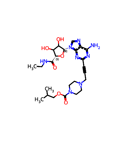 CCNC(=O)[C@H]1O[C@@H](n2cnc3c(N)nc(C#CCN4CCN(C(=O)OCC(C)C)CC4)nc32)C(O)C1O